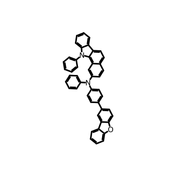 c1ccc(N(c2ccc(-c3ccc4oc5ccccc5c4c3)cc2)c2ccc3ccc4c5ccccc5n(-c5ccccc5)c4c3c2)cc1